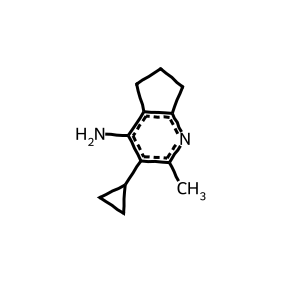 Cc1nc2c(c(N)c1C1CC1)CCC2